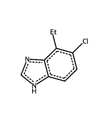 CCc1c(Cl)ccc2[nH]cnc12